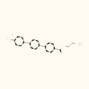 CCCOc1ccc(-c2ccc(-c3ccc(C(=O)OCCO)cc3)cc2)cc1